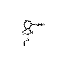 C=CSc1nc2c(SC)cccc2s1